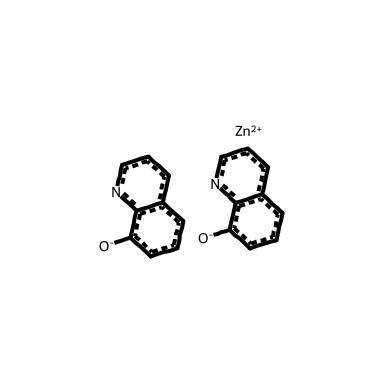 [O-]c1cccc2cccnc12.[O-]c1cccc2cccnc12.[Zn+2]